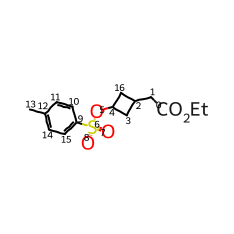 CCOC(=O)CC1CC(OS(=O)(=O)c2ccc(C)cc2)C1